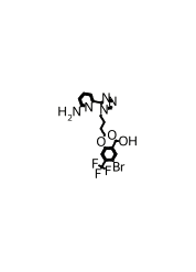 Nc1cccc(-c2nncn2CCCCOc2cc(C(F)(F)F)c(Br)cc2C(=O)O)n1